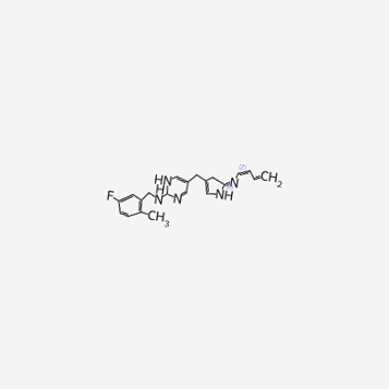 C=C/C=C\N=C1/CC(CC2=CNC(NCc3cc(F)ccc3C)N=C2)=CN1